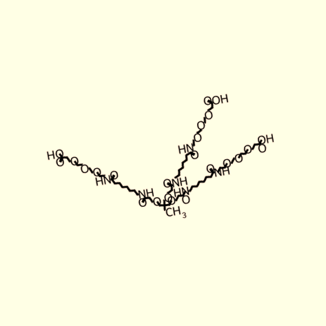 CCC(COCCC(=O)NCCCCCCCC(=O)NCCOCCOCCOCCC(=O)O)(COCCC(=O)NCCCCCCCC(=O)NCCOCCOCCOCCC(=O)O)COCCC(=O)NCCCCCCCC(=O)NCCOCCOCCOCCC(=O)O